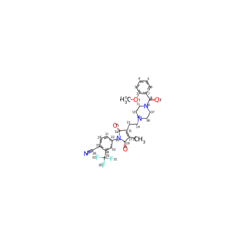 COc1ccccc1C(=O)N1CCN(CCC2=C(C)C(=O)N(c3ccc(C#N)c(C(F)(F)F)c3)C2=O)CC1